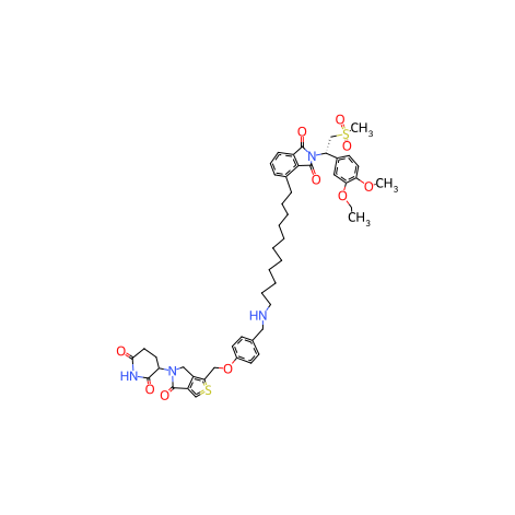 CCOc1cc([C@@H](CS(C)(=O)=O)N2C(=O)c3cccc(CCCCCCCCCCCNCc4ccc(OCc5scc6c5CN(C5CCC(=O)NC5=O)C6=O)cc4)c3C2=O)ccc1OC